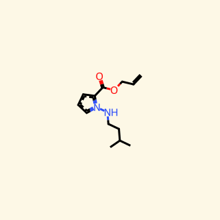 C=CCOC(=O)c1cccn1NCCC(C)C